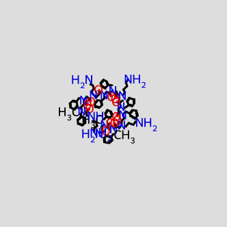 C[C@@H](c1ccccc1)N(CC(N)=O)C(=O)CN(C(=O)CN(CCCCN)C(=O)CN(Cc1ccccc1)C(=O)CN(Cc1ccccc1)C(=O)CN(CCCCN)C(=O)CN(Cc1ccccc1)C(=O)CN(Cc1ccccc1)C(=O)CN(CCCCN)C(=O)CN(Cc1ccccc1)C(=O)CN(C(=O)CNCCCCN)[C@@H](C)c1ccccc1)[C@@H](C)c1ccccc1